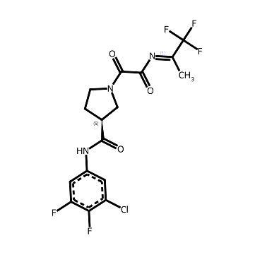 C/C(=N\C(=O)C(=O)N1CC[C@H](C(=O)Nc2cc(F)c(F)c(Cl)c2)C1)C(F)(F)F